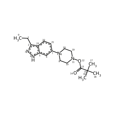 CCc1n[nH]c2cc(N3CCN(OC(=O)C(C)(C)C)CC3)ccc12